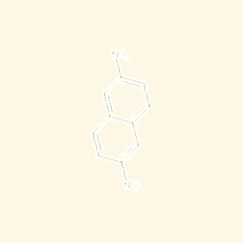 O=[N+]([O-])c1ccc2cc([N+](=O)[O-])ccc2c1